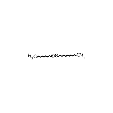 CCCCC=CC=CCCCCOCOCCCCCCCCCC